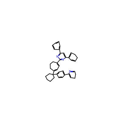 C1=CC(c2cc(-c3ccccc3)nc(C3=CC=C(C4(c5ccc(C6=CCCC=N6)cc5)CCCCC4)CCC3)n2)=CCC1